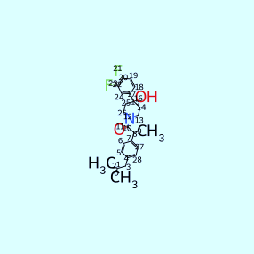 CC(C)Cc1ccc(C(C)C(=O)N2CCC(O)(c3ccc(F)c(F)c3)CC2)cc1